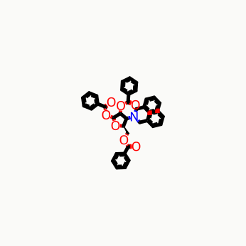 O=C(OC[C@H]1OC(OC(=O)c2ccccc2)C(OC(=O)c2ccccc2)C1N(Cc1ccccc1)Cc1ccccc1)c1ccccc1